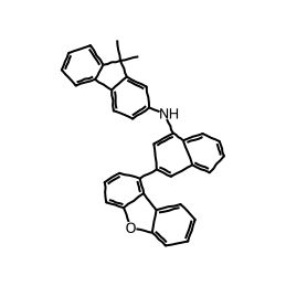 CC1(C)c2ccccc2-c2ccc(Nc3cc(-c4cccc5oc6ccccc6c45)cc4ccccc34)cc21